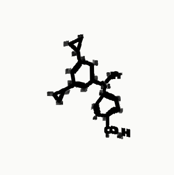 CC(C)N(c1ccc(C(=O)O)cc1)c1cc(C2CC2)cc(C2CC2)c1